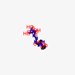 COc1cccc(OC)c1-c1cc(C(=O)NC2(C(=O)O)C(C)CC3CC(C)CC2C3)nn1-c1ccc(C(=O)N(C)CCCN(C)CCCN(C)C(=O)CCC(C(=O)O)N2CCN(CC(=O)O)CCN(CC(=O)O)CC2)cc1C(C)C